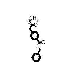 COC(=O)Cc1ccc(C(=O)OCc2ccccc2)cc1